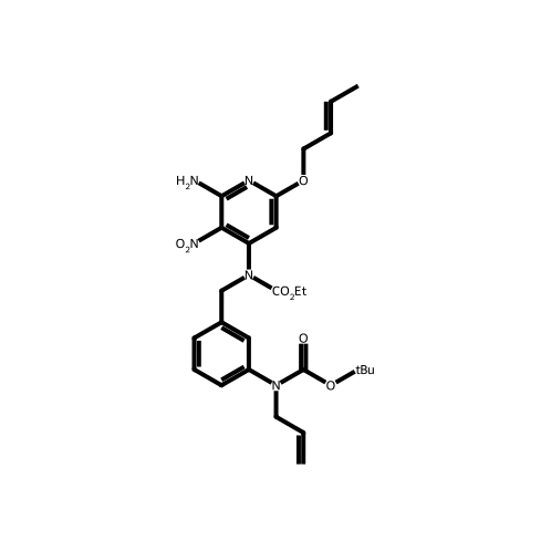 C=CCN(C(=O)OC(C)(C)C)c1cccc(CN(C(=O)OCC)c2cc(OC/C=C/C)nc(N)c2[N+](=O)[O-])c1